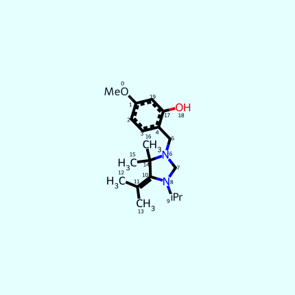 COc1ccc(CN2CN(C(C)C)C(=C(C)C)C2(C)C)c(O)c1